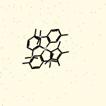 CC1=C(C)C(C)C([Si](c2cc(C)ccc2[Si](C)(C)C)(c2cc(C)ccc2[Si](C)(C)C)c2cc(C)ccc2[Si](C)(C)C)=C1C